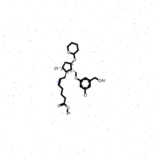 CC(=O)OCc1cc(Cl)cc(OC[C@@H]2[C@@H](C/C=C\CCCC(=O)OC(C)C)[C@H](Cl)C[C@H]2OC2CCCCO2)c1